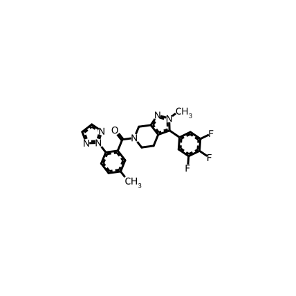 Cc1ccc(-n2nccn2)c(C(=O)N2CCc3c(nn(C)c3-c3cc(F)c(F)c(F)c3)C2)c1